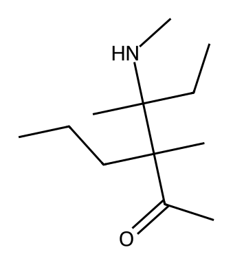 CCCC(C)(C(C)=O)C(C)(CC)NC